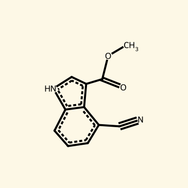 COC(=O)c1c[nH]c2cccc(C#N)c12